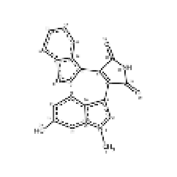 Cn1cc(C2=C(c3coc4ccccc34)C(=O)NC2=O)c2ccc(O)cc21